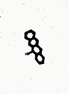 Sc1c2ccccc2cc2cc3ccccc3cc12